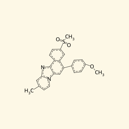 COc1ccc(-c2cc3c(nc4cc(C)ccn43)c3ccc(S(C)(=O)=O)cc23)cc1